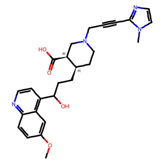 COc1ccc2nccc(C(O)CC[C@@H]3CCN(CC#Cc4nccn4C)C[C@@H]3C(=O)O)c2c1